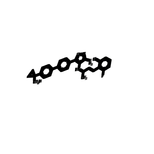 Cc1noc(-c2ccc(-c3ccc(C4(C(=O)O)CC4)cc3)cc2)c1NC(C)CCc1c(F)cccc1Cl